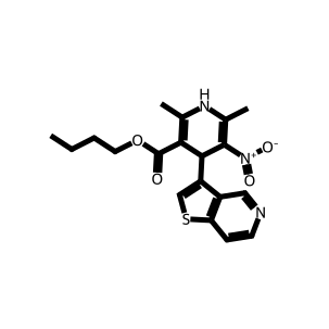 CCCCOC(=O)C1=C(C)NC(C)=C([N+](=O)[O-])C1c1csc2ccncc12